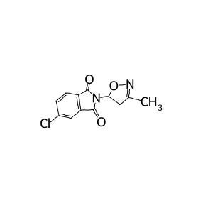 CC1=NOC(N2C(=O)c3ccc(Cl)cc3C2=O)C1